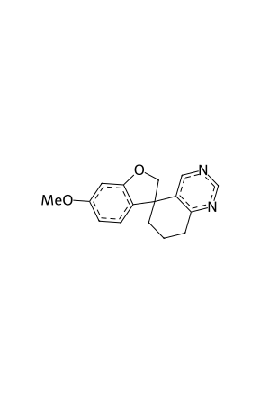 COc1ccc2c(c1)OCC21CCCc2ncncc21